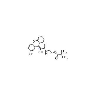 C=C(C)C(=O)OCCNC(=O)/C(C#N)=C1\c2ccccc2Sc2ccc(C(C)C)cc21